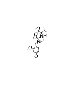 COC(=O)[C@@H](NC(=O)NCc1ccc(OC)cc1OC)C(C)C